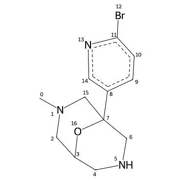 CN1CC2CNCC(c3ccc(Br)nc3)(C1)O2